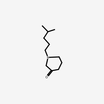 CC(C)CCCN1CCCC(=O)C1